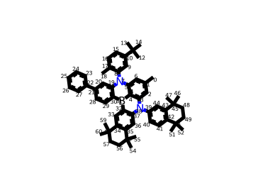 Cc1cc2c3c(c1)N(c1cc(C(C)(C)C)ccc1C)c1cc(-c4ccccc4)ccc1B3c1cc3c(cc1N2c1ccc2c(c1)C(C)(C)CCC2(C)C)C(C)(C)CCC3(C)C